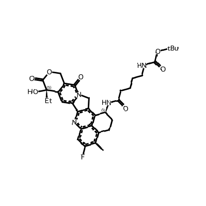 CC[C@@]1(O)C(=O)OCc2c1cc1n(c2=O)Cc2c-1nc1cc(F)c(C)c3c1c2[C@@H](NC(=O)CCCCNC(=O)OC(C)(C)C)CC3